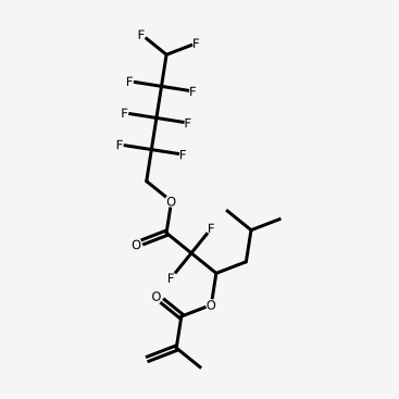 C=C(C)C(=O)OC(CC(C)C)C(F)(F)C(=O)OCC(F)(F)C(F)(F)C(F)(F)C(F)F